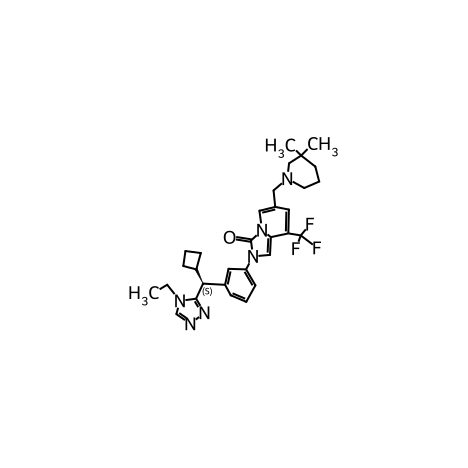 CCn1cnnc1[C@H](c1cccc(-n2cc3c(C(F)(F)F)cc(CN4CCCC(C)(C)C4)cn3c2=O)c1)C1CCC1